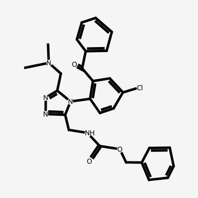 CN(C)Cc1nnc(CNC(=O)OCc2ccccc2)n1-c1ccc(Cl)cc1C(=O)c1ccccc1